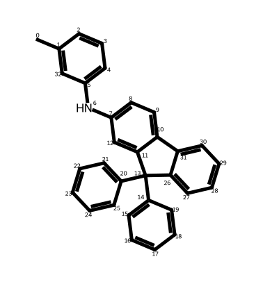 Cc1cccc(Nc2ccc3c(c2)C(c2ccccc2)(c2ccccc2)c2ccccc2-3)c1